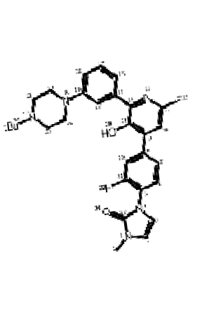 Cn1ccn(-c2ccc(-c3cc(F)nc(-c4cccc(N5CCN(C(C)(C)C)CC5)c4)c3O)cc2F)c1=O